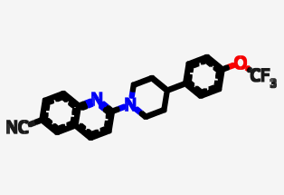 N#Cc1ccc2nc(N3CCC(c4ccc(OC(F)(F)F)cc4)CC3)ccc2c1